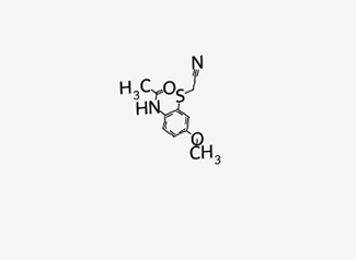 COc1ccc(NC(C)=O)c(SCC#N)c1